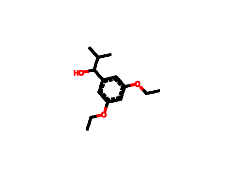 CCOc1cc(OCC)cc(C(O)C(C)C)c1